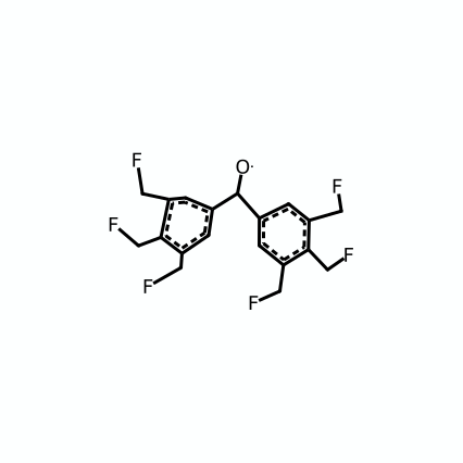 [O]C(c1cc(CF)c(CF)c(CF)c1)c1cc(CF)c(CF)c(CF)c1